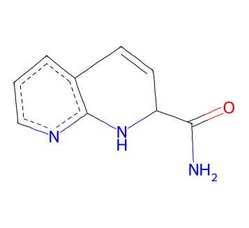 NC(=O)C1C=Cc2cccnc2N1